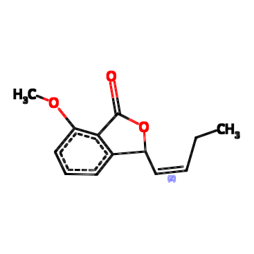 CC/C=C\C1OC(=O)c2c(OC)cccc21